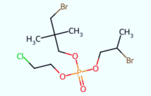 CC(Br)COP(=O)(OCCCl)OCC(C)(C)CBr